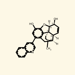 CN1CC[C@]23c4c5c(-c6cnc7ccccc7c6)cc(O)c4O[C@H]2[C@@H](O)C=C[C@H]3[C@H]1C5